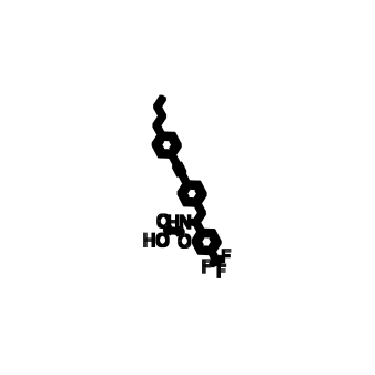 CCCCc1ccc(C#Cc2ccc(CC(NC(=O)C(=O)O)c3ccc(C(F)(F)F)cc3)cc2)cc1